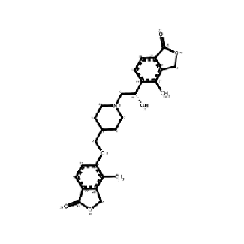 Cc1c(OCC2CCN(C[C@@H](O)c3ccc4c(c3C)COC4=O)CC2)ccc2c1COC2=O